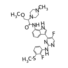 COCC(C(=O)Nc1cccc2c(-c3nc(Nc4cccc(SC)c4F)ncc3F)c[nH]c12)N1CCN(C)CC1